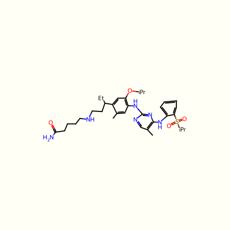 CCC(CCNCCCCC(N)=O)c1cc(OC(C)C)c(Nc2ncc(C)c(Nc3ccccc3S(=O)(=O)C(C)C)n2)cc1C